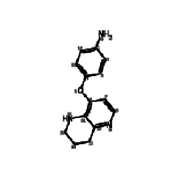 Nc1ccc(Oc2ccnc3c2NCCC3)cc1